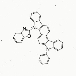 c1ccc(-n2c3ccccc3c3c4ccc5c6ccccc6n(-c6nc7ccccc7o6)c5c4ccc32)cc1